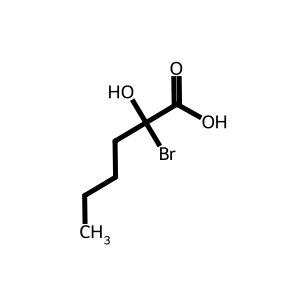 CCCCC(O)(Br)C(=O)O